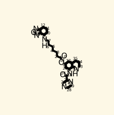 O=C(CCCCCCNc1cccc2nonc12)Oc1cc(NC(=O)c2cnccn2)c2ncccc2c1